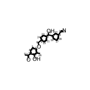 CC(=O)c1ccc(OCc2ccc(C(O)c3cccc(C#N)c3)cc2)c(C)c1O